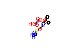 O=C(O)/C=C/C(=O)O.c1ccc(C(OC2CCN(CCOCCSc3ccc4ncnn4n3)CC2)c2ccccc2)cc1